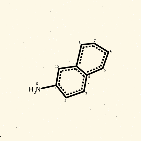 Nc1ccc2c[c]ccc2c1